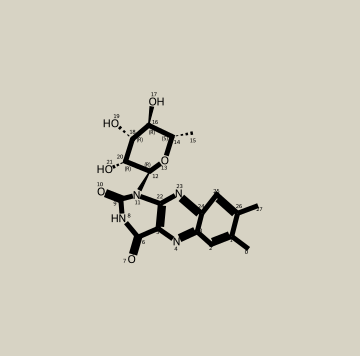 Cc1cc2nc3c(=O)[nH]c(=O)n([C@@H]4O[C@@H](C)[C@H](O)[C@@H](O)[C@H]4O)c3nc2cc1C